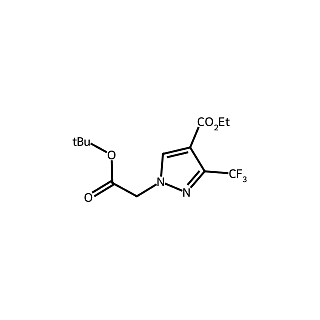 CCOC(=O)c1cn(CC(=O)OC(C)(C)C)nc1C(F)(F)F